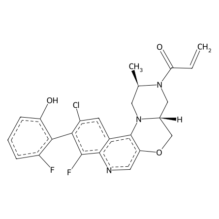 C=CC(=O)N1C[C@@H]2COc3cnc4c(F)c(-c5c(O)cccc5F)c(Cl)cc4c3N2C[C@H]1C